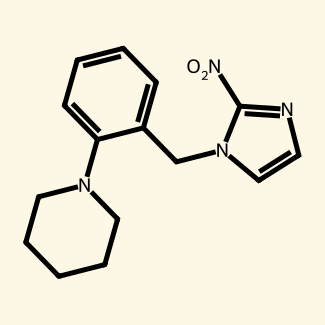 O=[N+]([O-])c1nccn1Cc1ccccc1N1CCCCC1